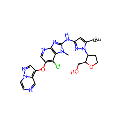 Cn1c(Nc2cc(C(C)(C)C)n([C@H]3CCO[C@H]3CO)n2)nc2ncc(Oc3cnn4ccncc34)c(Cl)c21